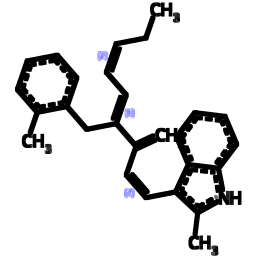 C=C(/C=C\c1c(C)[nH]c2ccccc12)/C(=C/C=C\CC)Cc1ccccc1C